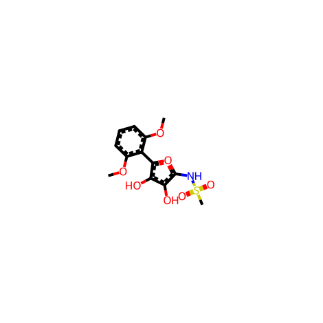 COc1cccc(OC)c1-c1oc(NS(C)(=O)=O)c(O)c1O